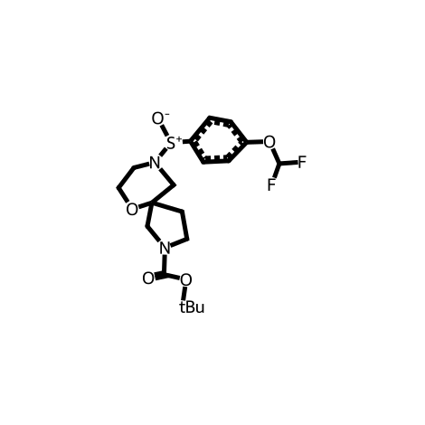 CC(C)(C)OC(=O)N1CCC2(C1)CN([S+]([O-])c1ccc(OC(F)F)cc1)CCO2